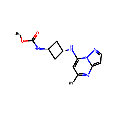 CC(C)c1cc(N[C@H]2C[C@H](NC(=O)OC(C)(C)C)C2)n2nccc2n1